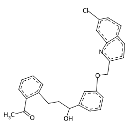 CC(=O)c1ccccc1CCC(O)c1cccc(OCc2ccc3ccc(Cl)cc3n2)c1